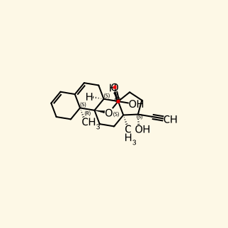 C#C[C@]1(O)CC[C@H]2[C@@H]3CC=C4C=CCC[C@]4(C)[C@@]3(OC(=O)O)CC[C@@]21C